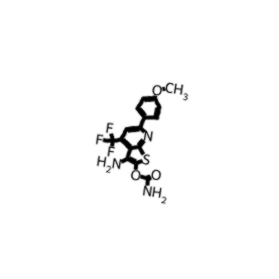 COc1ccc(-c2cc(C(F)(F)F)c3c(N)c(OC(N)=O)sc3n2)cc1